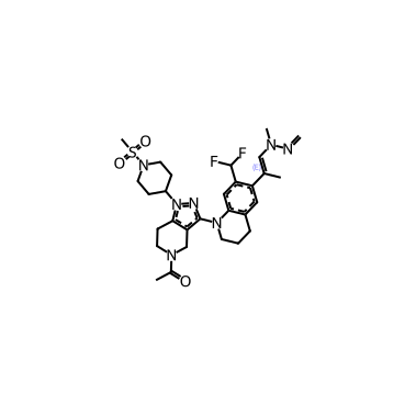 C=NN(C)/C=C(\C)c1cc2c(cc1C(F)F)N(c1nn(C3CCN(S(C)(=O)=O)CC3)c3c1CN(C(C)=O)CC3)CCC2